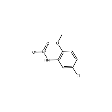 COc1ccc(Cl)cc1N[N+](=O)[O-]